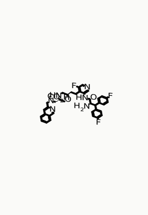 N[C@H](C(=O)Nc1cncc(F)c1CC[C@@H]1CN[C@@H](CN(Cc2cc3ccccc3cn2)C(=O)O)CO1)C(c1ccc(F)cc1)c1ccc(F)cc1